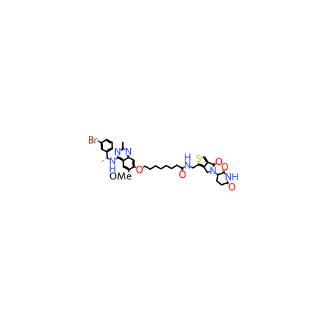 COc1cc2c(N[C@H](C)c3cccc(Br)c3)nc(C)nc2cc1OCCCCCCCC(=O)NCc1scc2c1CN(C1CCC(=O)NC1=O)C2=O